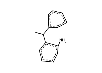 CC(c1ccccc1)c1ccccc1N